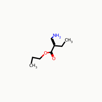 CCCOC(=O)C(=CN)CC